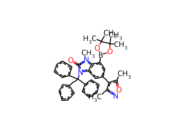 Cc1noc(C)c1-c1cc(B2OC(C)(C)C(C)(C)O2)c2c(c1)n(C(c1ccccc1)(c1ccccc1)c1ccccc1)c(=O)n2C